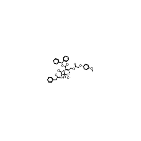 COc1ccc(OCC(=O)OCC2=C(C(=O)OC(c3ccccc3)c3ccccc3)N3C(=O)C(NC(=O)Cc4ccccc4)[C@@H]3[S+]([O-])C2)cc1